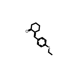 CCSc1ccc(C=C2CCCCC2=O)cc1